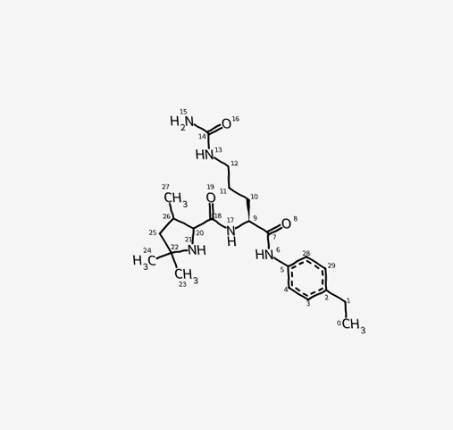 CCc1ccc(NC(=O)[C@H](CCCNC(N)=O)NC(=O)C2NC(C)(C)CC2C)cc1